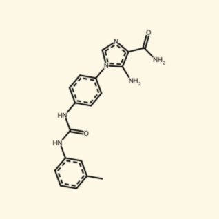 Cc1cccc(NC(=O)Nc2ccc(-n3cnc(C(N)=O)c3N)cc2)c1